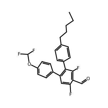 CCCCCc1ccc(-c2c(-c3ccc(OC(F)F)cc3)cc(F)c(C=O)c2F)cc1